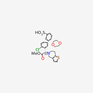 C1COCCO1.COC(=O)[C@H](c1ccccc1Cl)N1CCc2sccc2C1.O=S(=O)(O)c1ccccc1